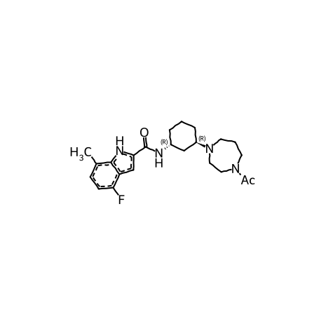 CC(=O)N1CCCN([C@@H]2CCC[C@@H](NC(=O)c3cc4c(F)ccc(C)c4[nH]3)C2)CC1